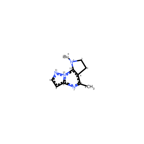 CCC(C)N1CCc2c(C)nc3ccnn3c21